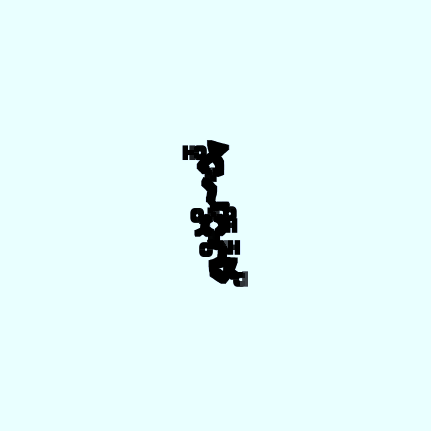 C[C@H]1C(=O)N2[C@@H](CCCN3CCC4(CC4)[C@H](O)C3)CO[C@@H]2CN1C(=O)Nc1cccc(Cl)c1